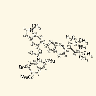 COc1cc2cc(C(C)(C)C)n(C(=O)Oc3cc4ccn(C)c4cc3-c3cn4ccc(C5=CC(C)(C)NC(C)(C)C5)nc4n3)c2cc1Br